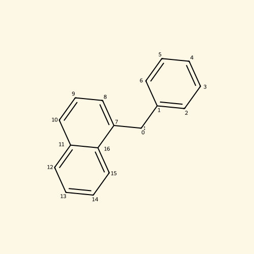 [C](c1ccccc1)c1cccc2ccccc12